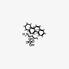 CCCCN.O=S(=O)(O)O.c1ccc2c(c1)ccc1c3c(ccc12)CCCC3